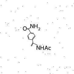 C=C(CNC(C)=O)c1ccc(C(N)=O)cc1